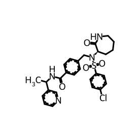 CC(NC(=O)c1ccc(CN([C@@H]2CCCCNC2=O)S(=O)(=O)c2ccc(Cl)cc2)cc1)c1cccnc1